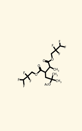 CC(=O)OC(C)(C)CC(C(=O)OCC(F)(F)C(F)F)C(C)C(=O)OCC(F)(F)C(F)F